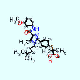 COc1cccc(NC(=O)c2nc(-c3ccc(SC(C)(C)C(=O)O)cc3)n(CCCC(C)C)c2C)c1